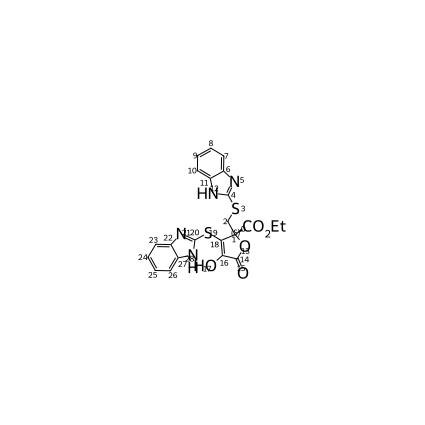 CCOC(=O)[C@@]1(CSc2nc3ccccc3[nH]2)OC(=O)C(O)=C1Sc1nc2ccccc2[nH]1